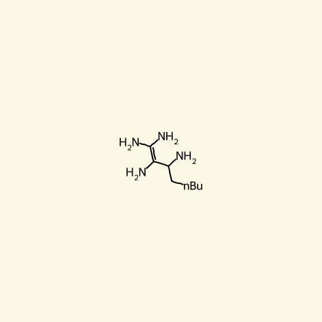 CCCCCC(N)C(N)=C(N)N